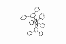 O=c1n(-c2cc(-c3ccccc3)cc(-c3ccccc3)c2)c(-c2ccccc2)c(-c2ccccc2)n1-c1cc(-c2ccccc2)cc(-c2ccccc2)c1